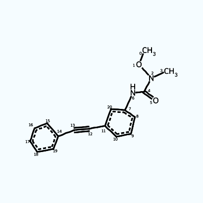 CON(C)C(=O)Nc1cccc(C#Cc2ccccc2)c1